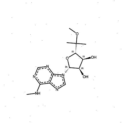 CNc1ncnc2c1ncn2[C@@H]1O[C@H](C(C)(C)OC)[C@@H](O)[C@H]1O